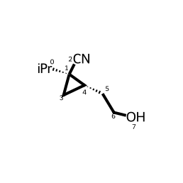 CC(C)[C@@]1(C#N)C[C@H]1CCO